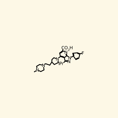 CC(C)c1nn(-c2ccc(F)cc2)c2nc(C(=O)O)cc(N3CCC(CCN4CCN(C)CC4)CC3)c12